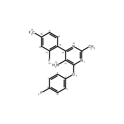 Cc1nc(Oc2ccc(F)cc2)c(N)c(-c2ccc(C(F)(F)F)cc2F)n1